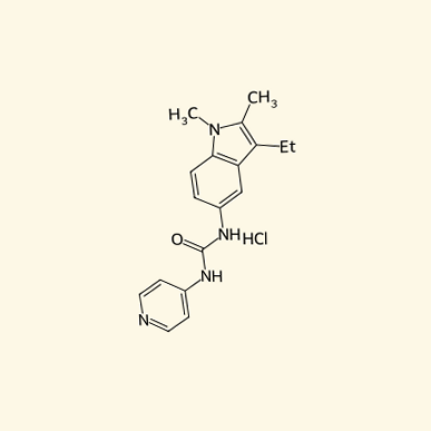 CCc1c(C)n(C)c2ccc(NC(=O)Nc3ccncc3)cc12.Cl